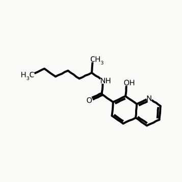 CCCCCC(C)NC(=O)c1ccc2cccnc2c1O